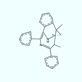 CC1C(c2ccccc2)=NC(c2ccccc2)=C2N[C@]13CC3(C)c1ccccc12